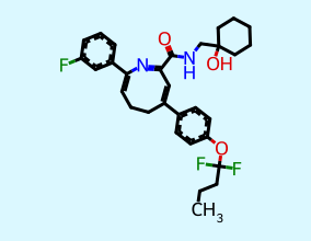 CCCC(F)(F)Oc1ccc(/C2=C/C(C(=O)NCC3(O)CCCCC3)=N\C(c3cccc(F)c3)=C/CC2)cc1